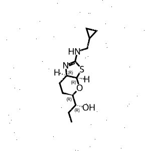 CC[C@@H](O)[C@H]1CC[C@H]2N=C(NCC3CC3)S[C@H]2O1